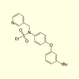 CCS(=O)(=O)N(Cc1cccnc1)c1ccc(Oc2cccc(C(C)(C)C)c2)cc1